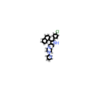 Cc1[nH]c(-c2ccc(Cl)cc2)c(-c2cccc3ccccc23)c1CN1CCN(c2ccccn2)CC1